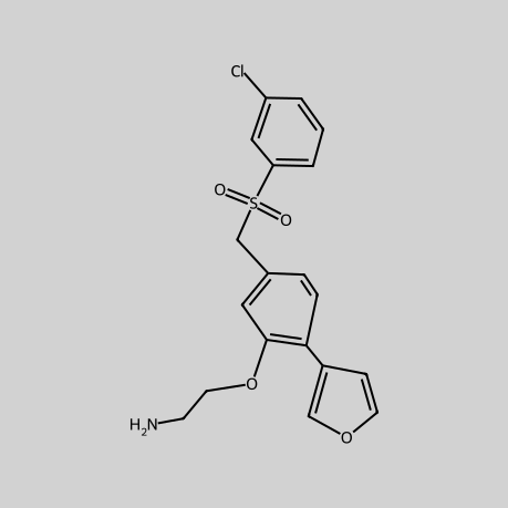 NCCOc1cc(CS(=O)(=O)c2cccc(Cl)c2)ccc1-c1ccoc1